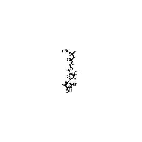 CCCCOC(C)CC(=O)OCOC[C@H]1O[C@@H](n2cc(F)c(=O)[nH]c2=O)C[C@@H]1O